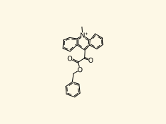 C[n+]1c2ccccc2c(C(=O)C(=O)OCc2ccccc2)c2ccccc21